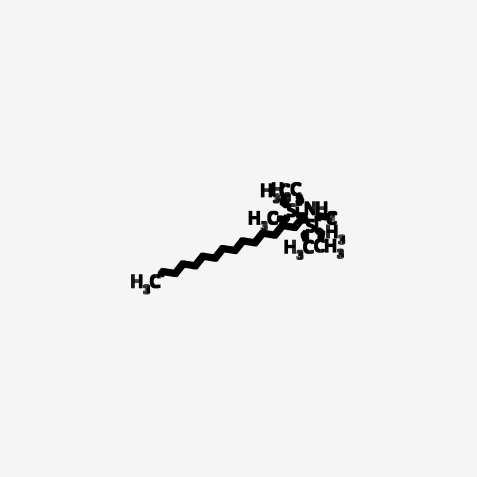 CCCCCCCCCCCCCCCC(N)([Si](CC)(CC)CC)[Si](CC)(CC)CC